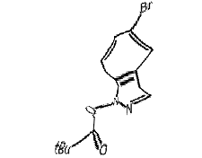 CC(C)(C)C(=O)On1ncc2cc(Br)ccc21